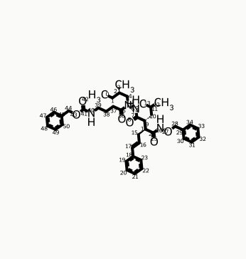 CC[C@H](C)CN(NC(=O)[C@H](CC(C)C)[C@H](CC=Cc1ccccc1)C(=O)NOCc1ccccc1)C(=O)CCCNC(=O)OCc1ccccc1